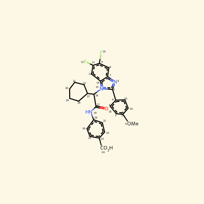 COc1ccc(-c2nc3cc(F)c(F)cc3n2C(C(=O)Nc2ccc(C(=O)O)cc2)C2CCCCC2)cc1